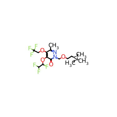 Cc1nn(COCC[Si](C)(C)C)c(=O)c(OC(F)C(F)F)c1OCC(F)(F)F